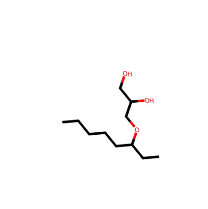 C[CH]C(CCCCC)OCC(O)CO